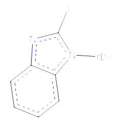 CC(C)(C)n1c(I)nc2ccccc21